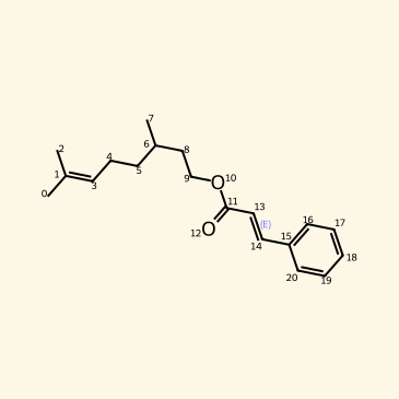 CC(C)=CCCC(C)CCOC(=O)/C=C/c1ccccc1